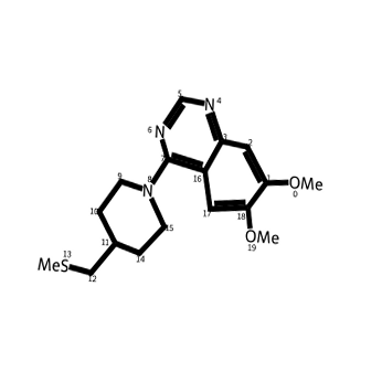 COc1cc2ncnc(N3CCC(CSC)CC3)c2cc1OC